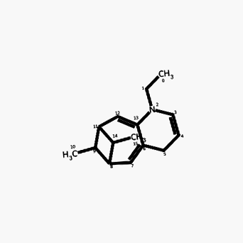 CCN1C=CCC2=CC3C(C)C(C=C21)C3C